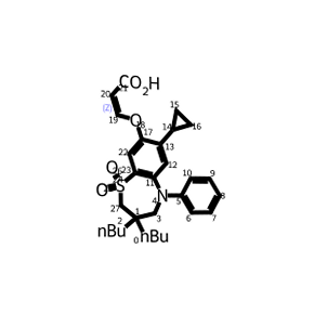 CCCCC1(CCCC)CN(c2ccccc2)c2cc(C3CC3)c(O/C=C\C(=O)O)cc2S(=O)(=O)C1